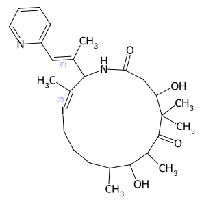 C/C1=I/CCCC(C)C(O)C(C)C(=O)C(C)(C)C(O)CC(=O)NC1/C(C)=C/c1ccccn1